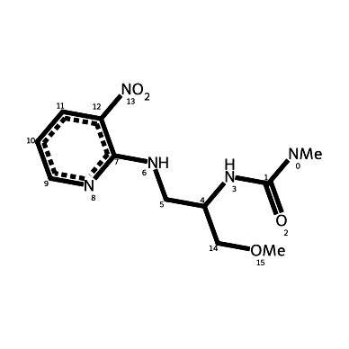 CNC(=O)NC(CNc1ncccc1[N+](=O)[O-])COC